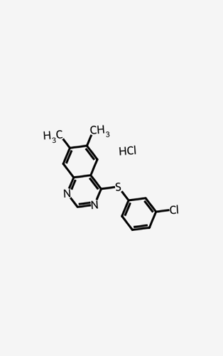 Cc1cc2ncnc(Sc3cccc(Cl)c3)c2cc1C.Cl